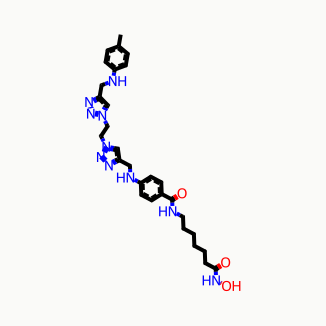 Cc1ccc(NCc2cn(CCn3cc(CNc4ccc(C(=O)NCCCCCCC(=O)NO)cc4)nn3)nn2)cc1